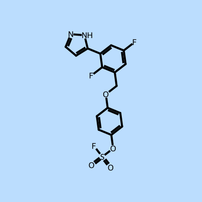 O=S(=O)(F)Oc1ccc(OCc2cc(F)cc(-c3ccn[nH]3)c2F)cc1